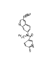 CN(C(=O)c1ccc(F)nc1)c1ccc2cc(C(C)(C)C)cnc2c1